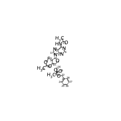 CC(=O)Nc1ncnc2c1ncn2[C@@H]1O[C@H](COP(C)(=O)OCc2ccccc2)C(OC(C)=O)[C@@H]1F